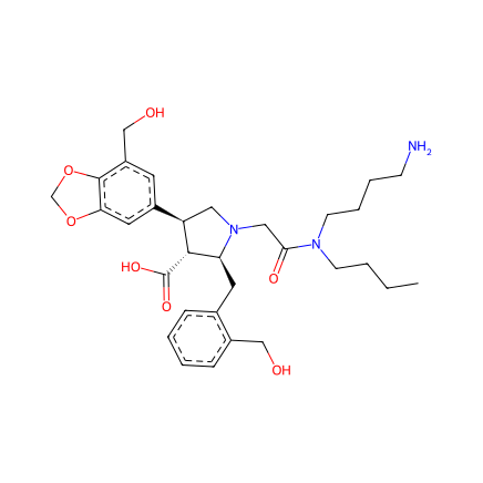 CCCCN(CCCCN)C(=O)CN1C[C@H](c2cc(CO)c3c(c2)OCO3)[C@@H](C(=O)O)[C@@H]1Cc1ccccc1CO